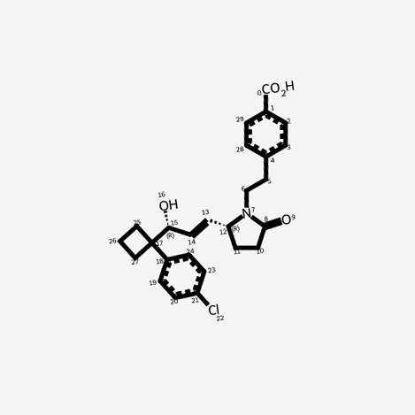 O=C(O)c1ccc(CCN2C(=O)CC[C@@H]2C=C[C@@H](O)C2(c3ccc(Cl)cc3)CCC2)cc1